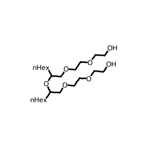 CCCCCCC(COCCOCCO)OC(CCCCCC)COCCOCCO